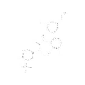 COCc1cc(F)c(CN2C(=O)C(c3cnc(C)c(C(C)(F)F)c3)CCc3c(F)cccc32)c(F)c1